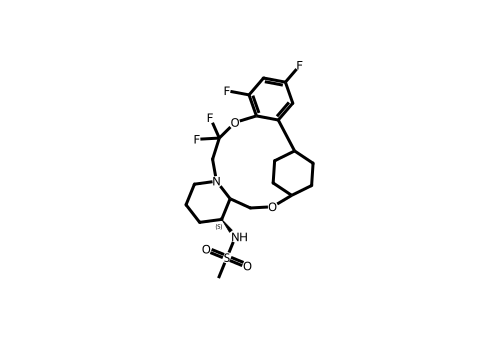 CS(=O)(=O)N[C@H]1CCCN2CC(F)(F)Oc3c(F)cc(F)cc3C3CCC(CC3)OCC12